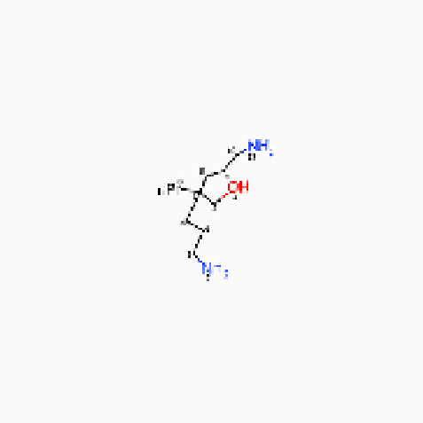 CCCC(CO)(CCCN)CCCN